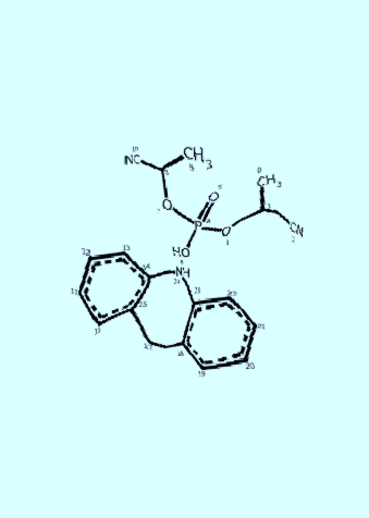 CC(C#N)OP(=O)(O)OC(C)C#N.c1ccc2c(c1)Cc1ccccc1N2